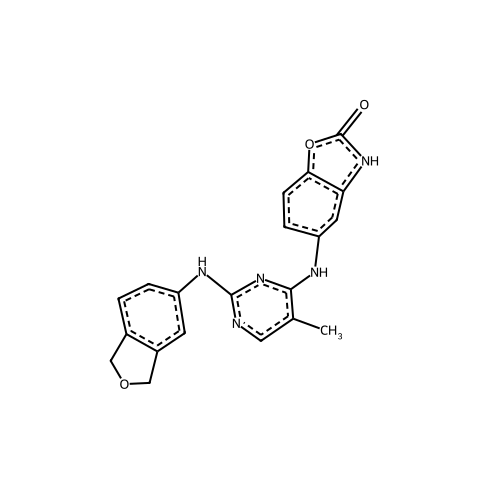 Cc1cnc(Nc2ccc3c(c2)COC3)nc1Nc1ccc2oc(=O)[nH]c2c1